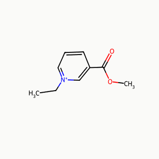 CC[n+]1cccc(C(=O)OC)c1